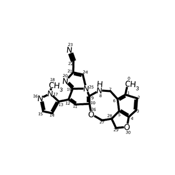 Cc1ccc2c3c1CNc1c(cc(-c4ccnn4C)c4nc(C#N)cn14)OCC3CO2